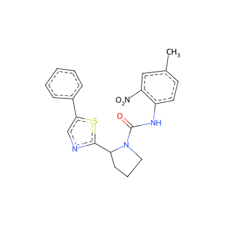 Cc1ccc(NC(=O)N2CCCC2c2ncc(-c3ccccc3)s2)c([N+](=O)[O-])c1